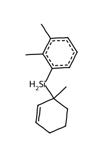 Cc1cccc([SiH2]C2(C)C=CCCC2)c1C